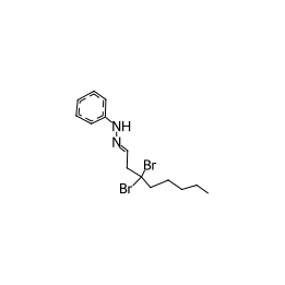 CCCCCC(Br)(Br)CC=NNc1ccccc1